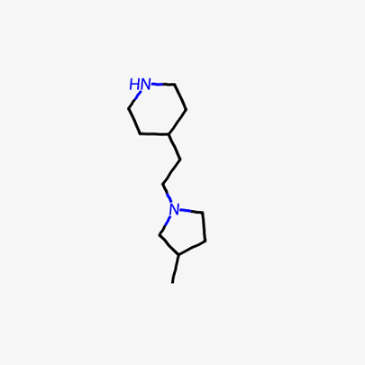 CC1CCN(CCC2CCNCC2)C1